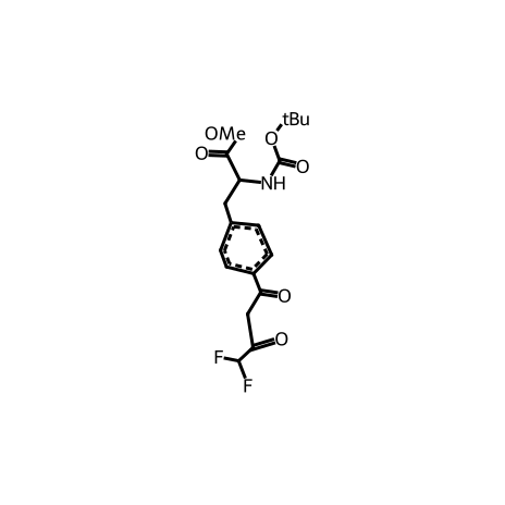 COC(=O)C(Cc1ccc(C(=O)CC(=O)C(F)F)cc1)NC(=O)OC(C)(C)C